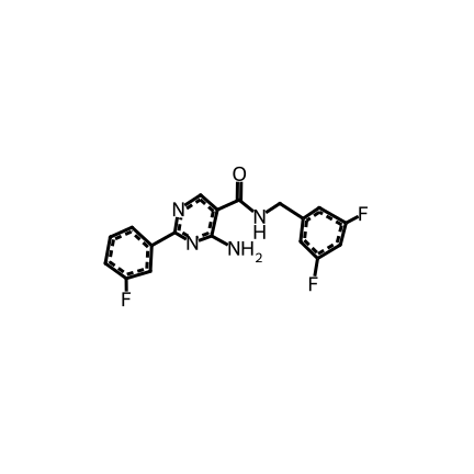 Nc1nc(-c2cccc(F)c2)ncc1C(=O)NCc1cc(F)cc(F)c1